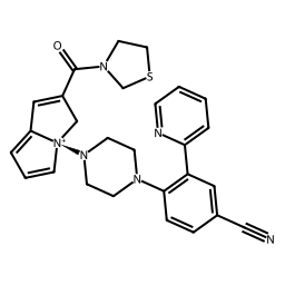 N#Cc1ccc(N2CCN([N@@+]34C=CC=C3C=C(C(=O)N3CCSC3)C4)CC2)c(-c2ccccn2)c1